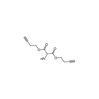 C#CCCOC(=O)C(CCC)C(=O)OCCC#C